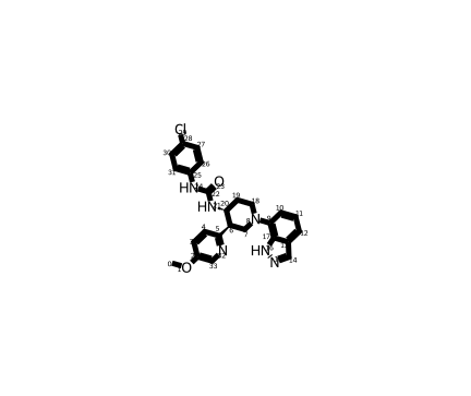 COc1ccc([C@@H]2CN(c3cccc4cn[nH]c34)CC[C@H]2NC(=O)Nc2ccc(Cl)cc2)nc1